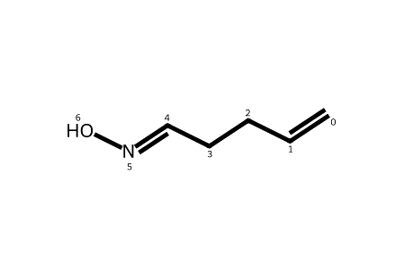 C=CCCC=NO